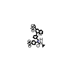 CCC(c1cc(-c2cccc(/C=C(/C(=O)NC3CC3)c3ccc(S(C)(=O)=O)cc3)c2)c2ncccc2c1)S(C)(=O)=O